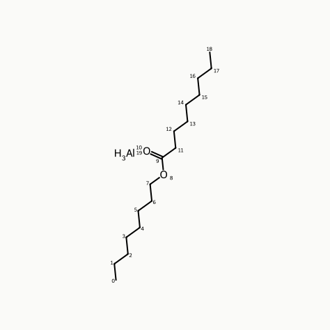 CCCCCCCCOC(=O)CCCCCCCC.[AlH3]